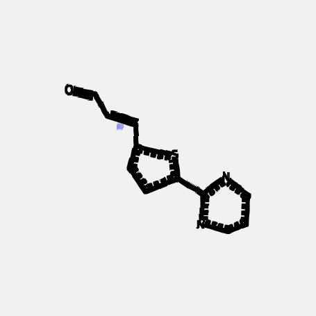 O=C/C=C/c1ccc(-c2ncccn2)s1